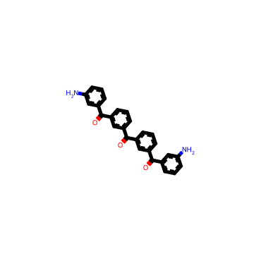 Nc1cccc(C(=O)c2cccc(C(=O)c3cccc(C(=O)c4cccc(N)c4)c3)c2)c1